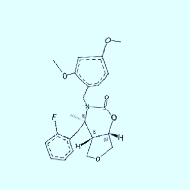 COc1ccc(CN2S(=O)O[C@@H]3COC[C@@H]3[C@@]2(C)c2ccccc2F)c(OC)c1